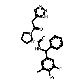 CC(C)c1c(F)cc(C(NC(=O)[C@@H]2CCCN2C(=O)Cc2cnn[nH]2)c2ccccc2)cc1F